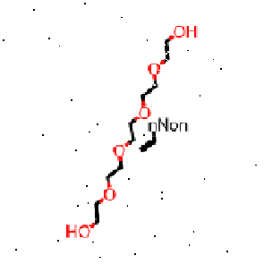 C=CCCCCCCCCC.OCCOCCOCCOCCOCCO